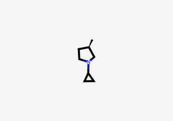 C[C@@H]1CCN(C2CC2)C1